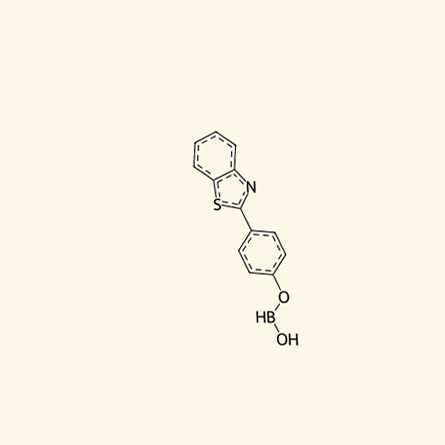 OBOc1ccc(-c2nc3ccccc3s2)cc1